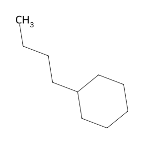 CCCCC1CCCCC1